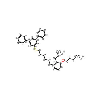 O=C(O)CCCOc1cccc(CCCCCCSc2cc(-c3ccccc3)cc(-c3ccccc3)c2)c1CCC(=O)O